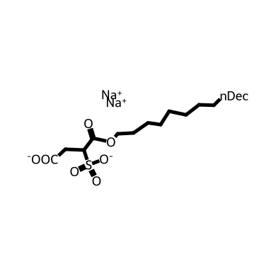 CCCCCCCCCCCCCCCCCCOC(=O)C(CC(=O)[O-])S(=O)(=O)[O-].[Na+].[Na+]